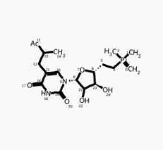 C=P(C)(C)CC[C@H]1O[C@@H](n2cc(CC(C)C(C)=O)c(=O)[nH]c2=O)C(O)[C@@H]1O